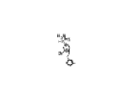 Cc1cccc(CCN2C=CN(NC(N)=S)C=C2Br)c1